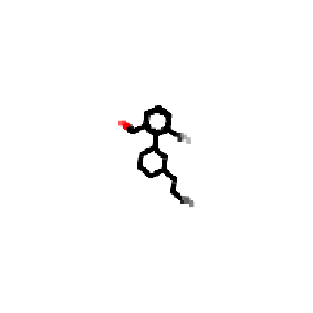 CCCC1CCCC(c2c(C)cccc2C=O)C1